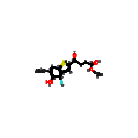 COc1cc2sc(C(=O)CCC(=O)OC(C)(C)C)cc2c(F)c1O